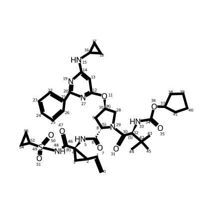 C=CC1C[C@]1(NC(=O)[C@@H]1C[C@@H](Oc2cc(NC3CC3)nc(-c3ccccc3)n2)CN1C(=O)[C@@H](NC(=O)OC1CCCC1)C(C)(C)C)C(=O)NS(=O)(=O)C1CC1